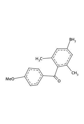 Bc1cc(C)c(C(=O)c2ccc(OC)cc2)c(C)c1